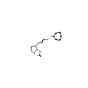 O=C1CC2C(CC(O)C2CC=C(O)COc2cccc(Cl)c2)O1